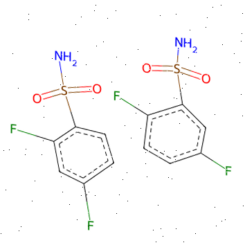 NS(=O)(=O)c1cc(F)ccc1F.NS(=O)(=O)c1ccc(F)cc1F